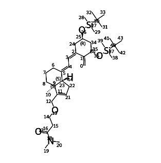 C=C1C(=CC=C2CCC[C@]3(C)C(COCCC(=O)N(C)C)=CC[C@@H]23)C[C@@H](O[Si](C)(C)C(C)(C)C)C[C@@H]1O[Si](C)(C)C(C)(C)C